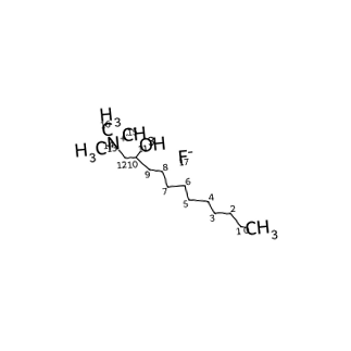 CCCCCCCCCCC(O)C[N+](C)(C)C.[F-]